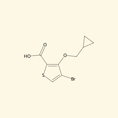 O=C(O)c1scc(Br)c1OCC1CC1